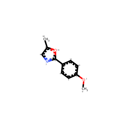 COc1ccc(-c2n[c]c(C)o2)cc1